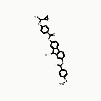 CCCCOc1ccc(C(=O)Oc2ccc3c(c2)C(C)c2cc(OC(=O)c4ccc(OC(CCC)C5CO5)cc4)ccc2-3)cc1